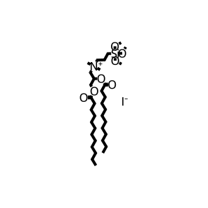 CCCCCCCCCCCC(=O)OCC(C[N+](C)(C)CCC[Si](OC)(OC)OC)OC(=O)CCCCCCCCCCC.[I-]